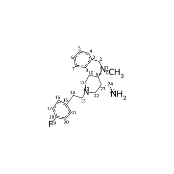 CN(Cc1ccccc1)[C@@H]1CCN(CCc2ccc(F)cc2)C[C@H]1CN